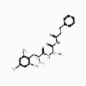 Cc1cc(C)c(C[C@H](N)C(=O)N[C@@H](C)C(=O)NC(=O)CCc2ccccc2)c(C)c1